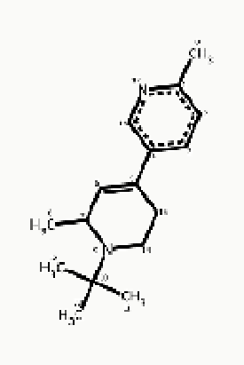 Cc1ccc(C2=CC(C)N(C(C)(C)C)CC2)cn1